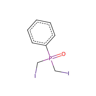 O=P(CI)(CI)c1ccccc1